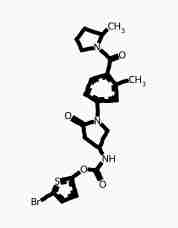 Cc1cc(N2CC(NC(=O)Oc3ccc(Br)s3)CC2=O)ccc1C(=O)N1CCCC1C